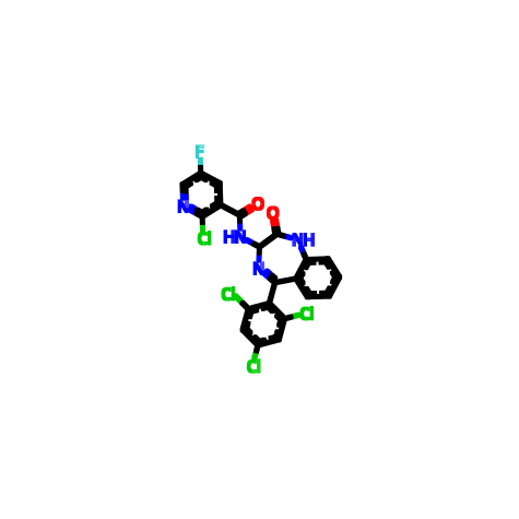 O=C(NC1N=C(c2c(Cl)cc(Cl)cc2Cl)c2ccccc2NC1=O)c1cc(F)cnc1Cl